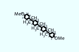 COc1ccc(C(C)(C)c2ccc(C(C)(C)c3ccc(C(C)(C)c4ccc(OC)cc4)cc3)cc2)cc1